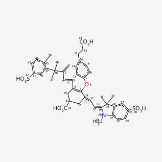 C=C(/C=C/C1=C(Oc2ccc(CCC(=O)O)cc2)C(=C/C=C2/N(CCCC)c3ccc(S(=O)(=O)O)cc3C2(C)C)/CC(C(=O)O)C1)C(C)(C)c1cc(S(=O)(=O)O)ccc1C